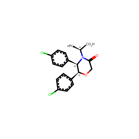 CCC[C@@H](C(=O)O)N1C(=O)CO[C@@H](c2ccc(Cl)cc2)[C@H]1c1ccc(Cl)cc1